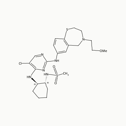 COCCN1CCSc2ccc(Nc3ncc(Cl)c(N[C@@H]4CCCC[C@H]4NS(C)(=O)=O)n3)cc2C1